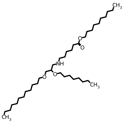 CCCCCCCCCCCCOCC(CNCCCCCC(=O)OCCCCCCCCCC)OCCCCCCCC